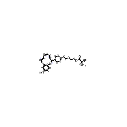 CC(C)C(N)C(=O)OCCOCCN1CCN(C2=N/c3ccc(O)cc3S/C=C/C=C\C=C\2)CC1